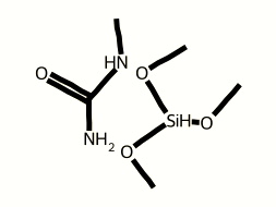 CNC(N)=O.CO[SiH](OC)OC